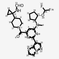 CN(c1cc(C(=O)N2CCC(C3(NC=O)CC3)CC2)nc(-c2cnn3ccsc23)n1)[C@H]1CCC[C@@H]1OC(F)F